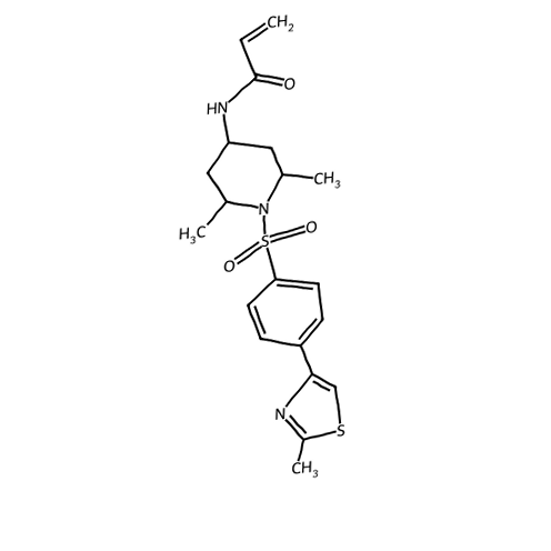 C=CC(=O)NC1CC(C)N(S(=O)(=O)c2ccc(-c3csc(C)n3)cc2)C(C)C1